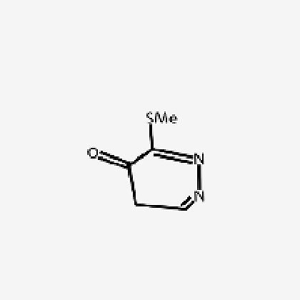 [CH2]SC1=NN=CCC1=O